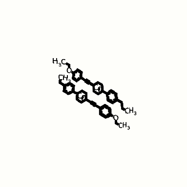 CCCc1ccc(C23CCC(C#Cc4ccc(OCC)cc4)(CC2)CC3)cc1.CCOc1ccc(C#CC23CCC(c4ccc(CC)cc4)(CC2)CC3)cc1